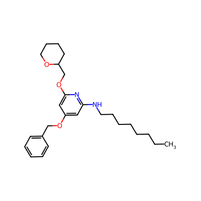 CCCCCCCCNc1cc(OCc2ccccc2)cc(OCC2CCCCO2)n1